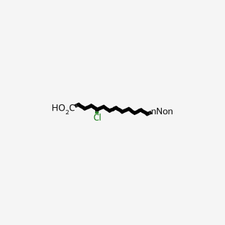 CCCCCCCCCCCCCCCCCC(Cl)CCCC(=O)O